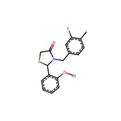 CCOc1ccccc1C1SCC(=O)N1Cc1ccc(C)c(F)c1